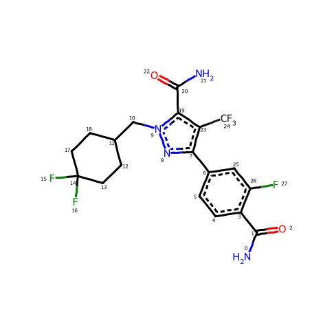 NC(=O)c1ccc(-c2nn(CC3CCC(F)(F)CC3)c(C(N)=O)c2C(F)(F)F)cc1F